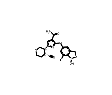 N#C[C@@H]1CCOC[C@H]1n1cc(C(N)=O)c(Nc2cc(F)c3c(c2)COB3O)n1